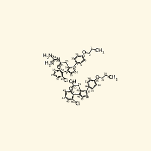 CCCOc1ccc(-c2scc(-c3ccccc3Cl)c2CC(=O)N=C(N)N)cc1.CCCOc1ccc(-c2scc(-c3ccccc3Cl)c2CC(=O)O)cc1